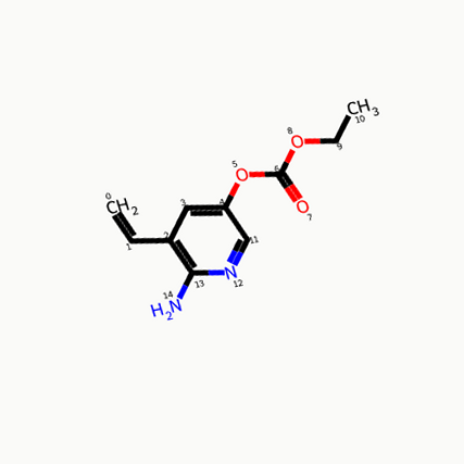 C=Cc1cc(OC(=O)OCC)cnc1N